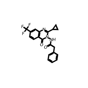 O=C(Cc1ccccc1)Nn1c(C2CC2)nc2cc(C(F)(F)F)ccc2c1=O